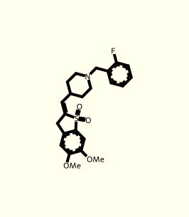 COc1cc2c(cc1OC)S(=O)(=O)C(=CC1CCN(Cc3ccccc3F)CC1)C2